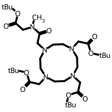 CN(CC(=O)OC(C)(C)C)C(=O)CN1CCN(CC(=O)OC(C)(C)C)CCN(CC(=O)OC(C)(C)C)CCN(CC(=O)OC(C)(C)C)CC1